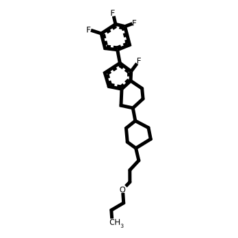 CCCOCCCC1CCC(C2CCc3c(ccc(-c4cc(F)c(F)c(F)c4)c3F)C2)CC1